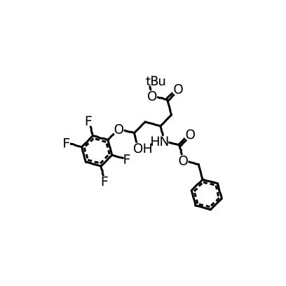 CC(C)(C)OC(=O)CC(CC(O)Oc1c(F)c(F)cc(F)c1F)NC(=O)OCc1ccccc1